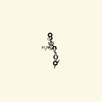 Nc1nc2c(ccn2CCN2CCN(c3ccc(F)cc3F)CC2)c2nc(-c3cc4ccccc4o3)nn12